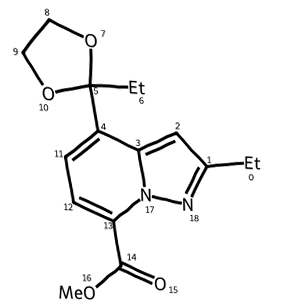 CCc1cc2c(C3(CC)OCCO3)ccc(C(=O)OC)n2n1